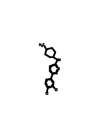 CN1CCC(Nc2ccc(-c3ccc(Cl)c(Cl)c3)nn2)CC1